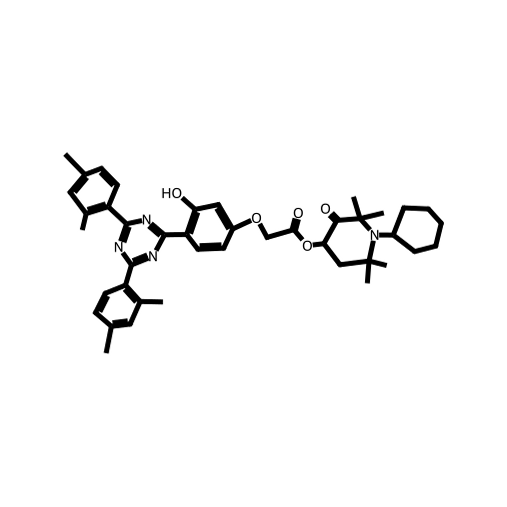 Cc1ccc(-c2nc(-c3ccc(C)cc3C)nc(-c3ccc(OCC(=O)OC4CC(C)(C)N(C5CCCCC5)C(C)(C)C4=O)cc3O)n2)c(C)c1